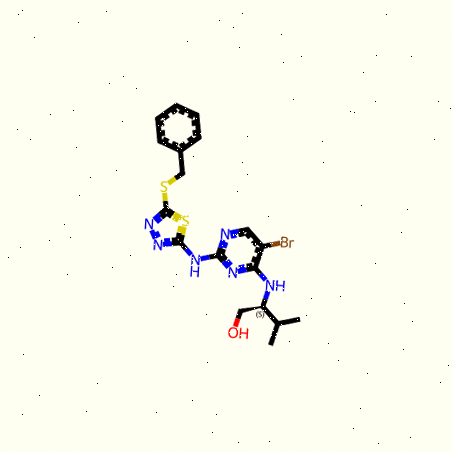 CC(C)[C@@H](CO)Nc1nc(Nc2nnc(SCc3ccccc3)s2)ncc1Br